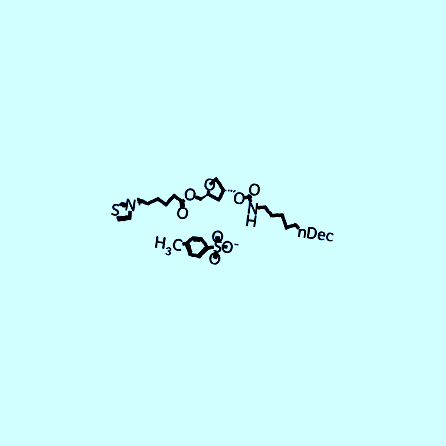 CCCCCCCCCCCCCCCNC(=O)OC[C@H]1CO[C@H](COC(=O)CCCCC[n+]2ccsc2)C1.Cc1ccc(S(=O)(=O)[O-])cc1